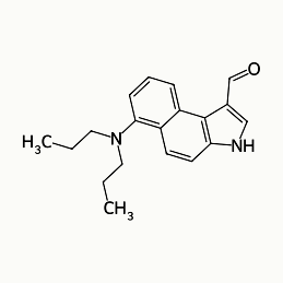 CCCN(CCC)c1cccc2c1ccc1[nH]cc(C=O)c12